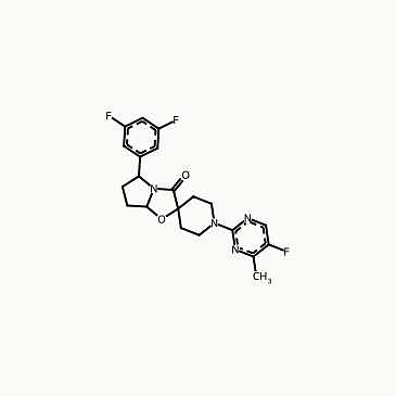 Cc1nc(N2CCC3(CC2)OC2CCC(c4cc(F)cc(F)c4)N2C3=O)ncc1F